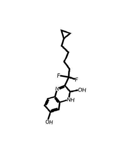 Oc1ccc2c(c1)NC(O)C(C(F)(F)CCCCC1CC1)=N2